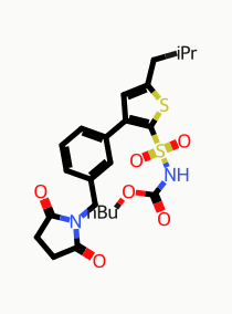 CCCCOC(=O)NS(=O)(=O)c1sc(CC(C)C)cc1-c1cccc(CN2C(=O)CCC2=O)c1